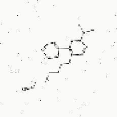 CN(C)c1ccc(CCCCCCC=O)c(-c2ccccc2)c1